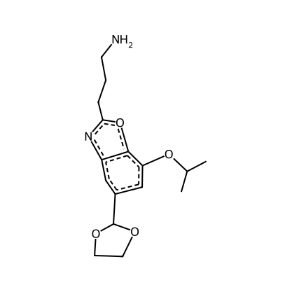 CC(C)Oc1cc(C2OCCO2)cc2nc(CCCN)oc12